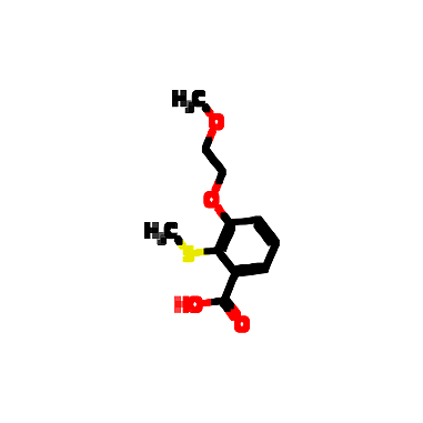 COCCOc1cccc(C(=O)O)c1SC